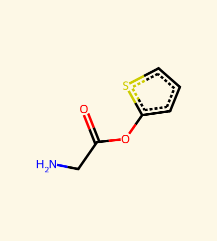 NCC(=O)Oc1cccs1